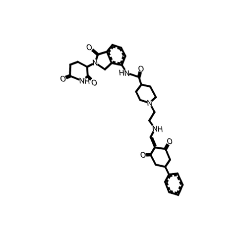 O=C1CCC(N2Cc3c(NC(=O)C4CCN(CCNC=C5C(=O)CC(c6ccccc6)CC5=O)CC4)cccc3C2=O)C(=O)N1